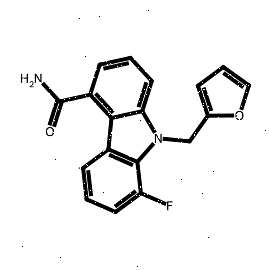 NC(=O)c1cccc2c1c1[c]ccc(F)c1n2Cc1ccco1